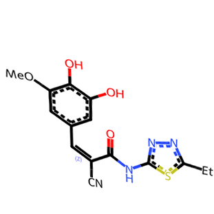 CCc1nnc(NC(=O)/C(C#N)=C\c2cc(O)c(O)c(OC)c2)s1